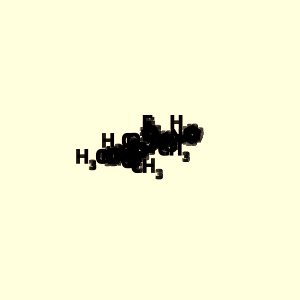 COc1cc(/C=C2/C(C)=C(CC(=O)NCc3ccccc3)c3cc(F)ccc32)cc(OC)c1OC(=O)N1CCN(C)CC1